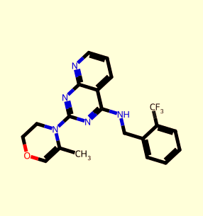 CC1=COCCN1c1nc(NCc2ccccc2C(F)(F)F)c2cccnc2n1